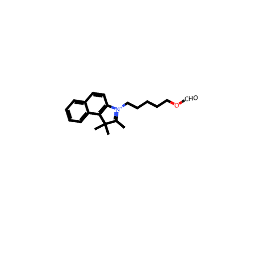 CC1=[N+](CCCCCOC=O)c2ccc3ccccc3c2C1(C)C